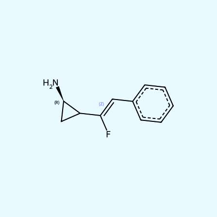 N[C@@H]1CC1/C(F)=C/c1ccccc1